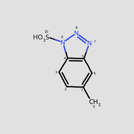 Cc1ccc2c(c1)nnn2S(=O)(=O)O